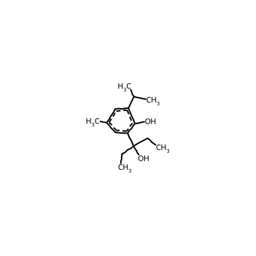 CCC(O)(CC)c1cc(C)cc(C(C)C)c1O